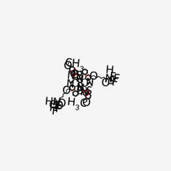 COc1ccc2sc(/C(C#N)=c3/c4c(-c5ccc(OCCCCC(=O)NS(=O)(=O)C(F)(F)F)cc5)n(B(c5ccccc5)c5ccccc5)/c(=C(/C#N)c5nc6cc(OC)ccc6s5)c4c(-c4ccc(OCCCCC(=O)NSC(F)(F)F)cc4)n3B(c3ccccc3)c3ccccc3)nc2c1